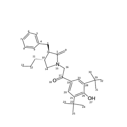 C=C1[C@H](Cc2ccccc2)[C@@H](CCC)CN1CC(=O)c1cc(C(C)(C)C)c(O)c(C(C)(C)C)c1